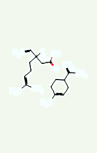 C=C(C)C1CC=C(C)CC1.C=CC(C)(CCC=C(C)C)CC(=O)O